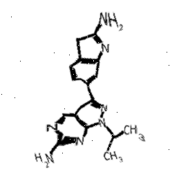 CC(C)n1nc(-c2ccc3c(c2)N=C(N)C3)c2cnc(N)nc21